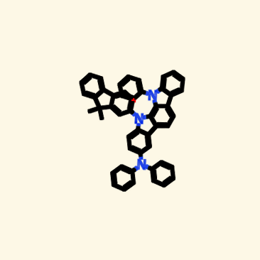 CC1(C)c2ccccc2-c2ccc(-n3c4ccc(N(c5ccccc5)c5ccccc5)cc4c4ccc5c6ccccc6n(-c6ccccc6)c5c43)cc21